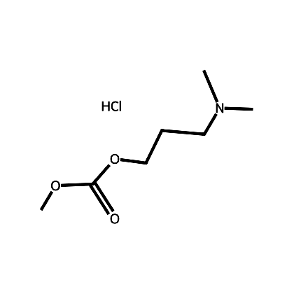 COC(=O)OCCCN(C)C.Cl